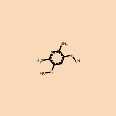 N#CSc1cc(SC#N)c(N)nc1N